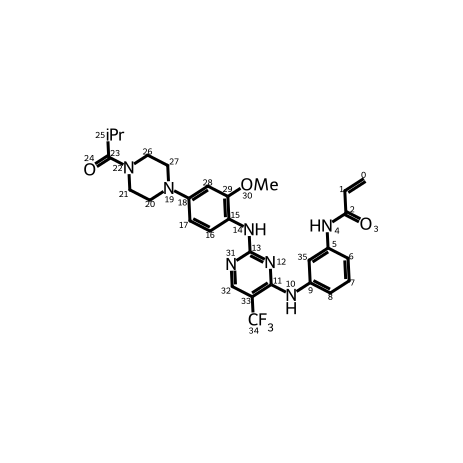 C=CC(=O)Nc1cccc(Nc2nc(Nc3ccc(N4CCN(C(=O)C(C)C)CC4)cc3OC)ncc2C(F)(F)F)c1